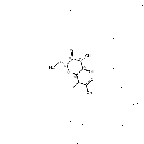 CC(C(=O)O)[C@H]1O[C@H](CO)[C@@H](O)[C@H](O)[C@H]1O